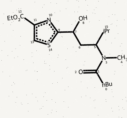 CCCCC(=O)N(C)C(CC(O)c1nc(C(=O)OCC)cs1)C(C)C